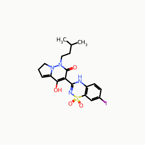 CC(C)CCN1C(=O)C(C2=NS(=O)(=O)c3cc(I)ccc3N2)=C(O)C2=CCCN21